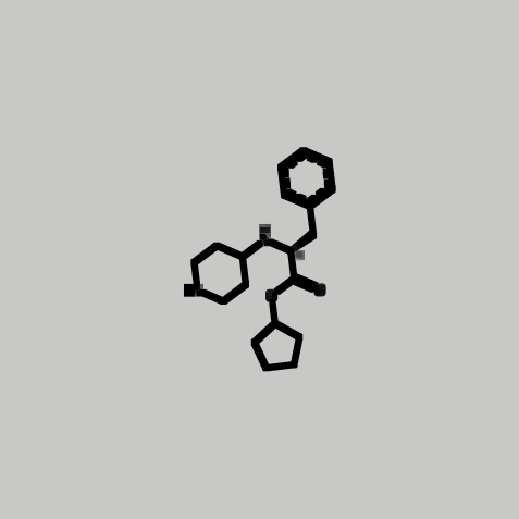 O=C(OC1CCCC1)[C@H](Cc1ccccc1)NC1CCNCC1